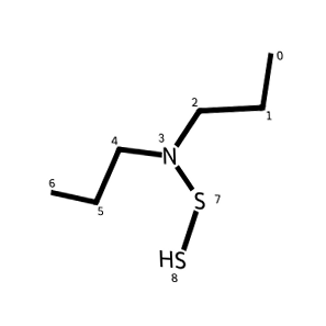 CCCN(CCC)SS